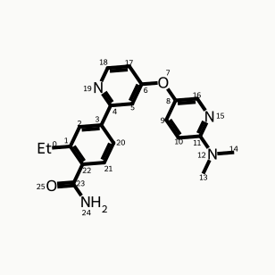 CCc1cc(-c2cc(Oc3ccc(N(C)C)nc3)ccn2)ccc1C(N)=O